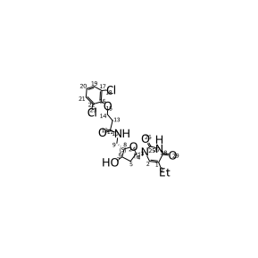 CCc1cn([C@@H]2CC(O)[C@H](CNC(=O)CCOc3c(Cl)cccc3Cl)O2)c(=O)[nH]c1=O